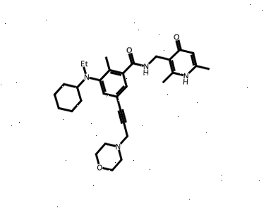 CCN(c1cc(C#CCN2CCOCC2)cc(C(=O)NCc2c(C)[nH]c(C)cc2=O)c1C)C1CCCCC1